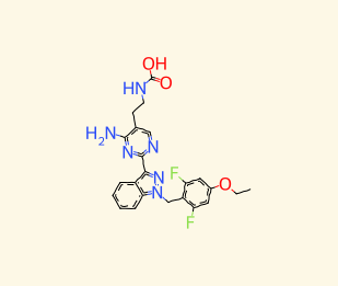 CCOc1cc(F)c(Cn2nc(-c3ncc(CCNC(=O)O)c(N)n3)c3ccccc32)c(F)c1